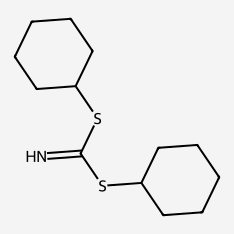 N=C(SC1CCCCC1)SC1CCCCC1